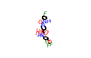 O=C(Nc1ccc(F)cc1)N1CCC(O)(C(=O)Nc2ccc(OC(F)(F)F)cc2)CC1